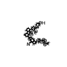 COc1nc(-c2cccc(-c3cccc(-c4cc5cc6c(c(C#N)c5o4)CC[C@H]6N4CC[C@@H](C(=O)NS(=O)(=O)C5CC5)C4)c3Cl)c2Cl)cnc1CN1CC[C@@H](O)C1